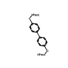 CCCCCOc1ccc(-c2ccc(SCCCCC)cc2)cc1